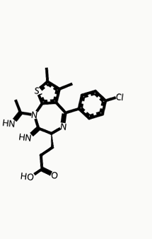 CC(=N)N1C(=N)[C@H](CCC(=O)O)N=C(c2ccc(Cl)cc2)c2c1sc(C)c2C